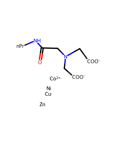 [CH2]CCNC(=O)CN(CC(=O)[O-])CC(=O)[O-].[Co+2].[Cu].[Ni].[Zn]